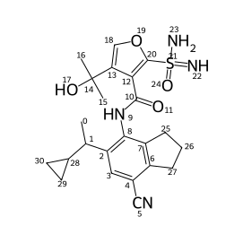 CC(c1cc(C#N)c2c(c1NC(=O)c1c(C(C)(C)O)coc1S(=N)(N)=O)CCC2)C1CC1